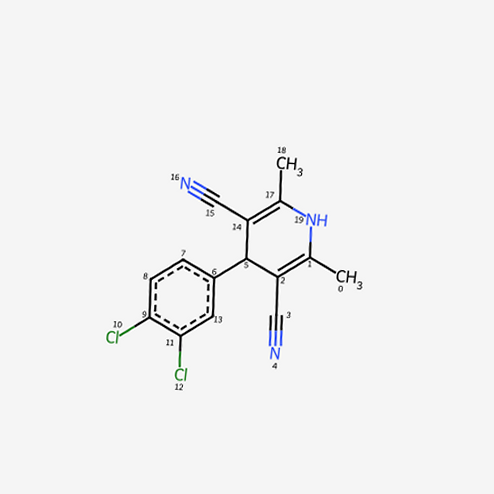 CC1=C(C#N)C(c2ccc(Cl)c(Cl)c2)C(C#N)=C(C)N1